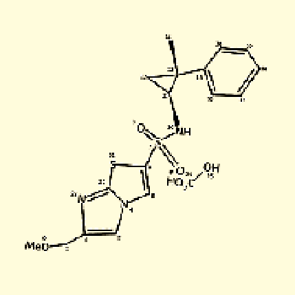 COCc1cn2cc(S(=O)(=O)N[C@H]3C[C@]3(C)c3ccccc3)sc2n1.O=C(O)O